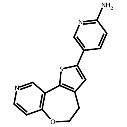 Nc1ccc(-c2cc3c(s2)-c2cnccc2OCC3)cn1